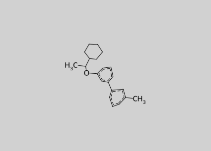 Cc1cccc(-c2cccc(OC(C)C3CCCCC3)c2)c1